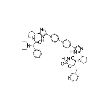 CCN(CC)[C@@H](C(=O)N1CCC[C@H]1c1ncc(-c2ccc(-c3ccc(-c4cnc([C@@H]5CCCN5C(=O)[C@H](Cc5cccnc5)OC(N)=O)[nH]4)cc3)cc2)[nH]1)c1ccccc1